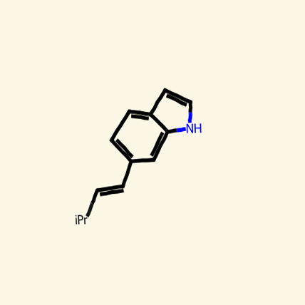 CC(C)/C=C/c1ccc2cc[nH]c2c1